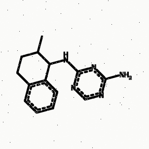 CC1CCc2ccccc2C1Nc1ncnc(N)n1